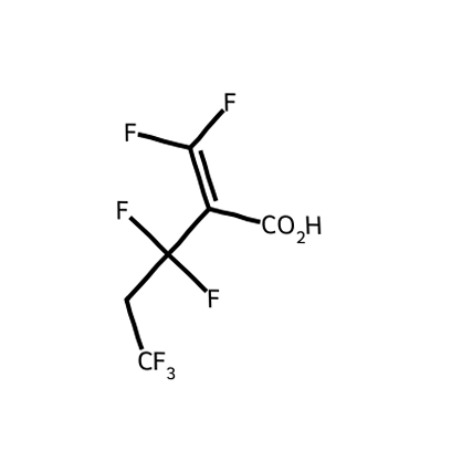 O=C(O)C(=C(F)F)C(F)(F)CC(F)(F)F